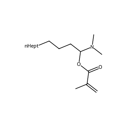 C=C(C)C(=O)OC(CCCCCCCCCC)N(C)C